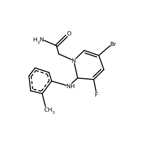 Cc1ccccc1NC1C(F)=CC(Br)=CN1CC(N)=O